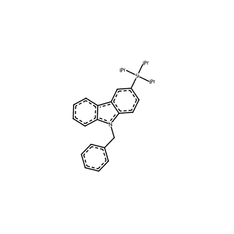 CC(C)[Si](c1ccc2c(c1)c1ccccc1n2Cc1ccccc1)(C(C)C)C(C)C